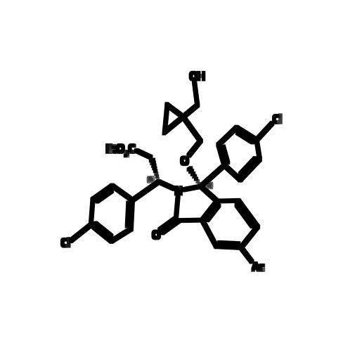 CCOC(=O)C[C@@H](c1ccc(Cl)cc1)N1C(=O)c2cc(C(C)=O)ccc2[C@]1(OCC1(CO)CC1)c1ccc(Cl)cc1